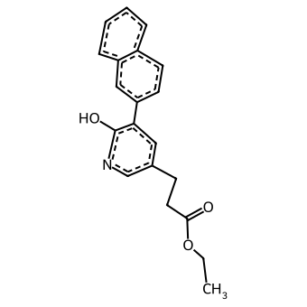 CCOC(=O)CCc1cnc(O)c(-c2ccc3ccccc3c2)c1